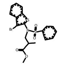 COC(=O)C(C)CN(c1sc2ccccc2c1Br)S(=O)(=O)c1ccccc1